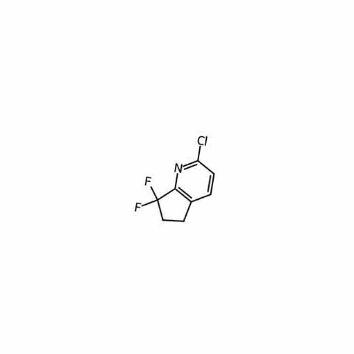 FC1(F)CCc2ccc(Cl)nc21